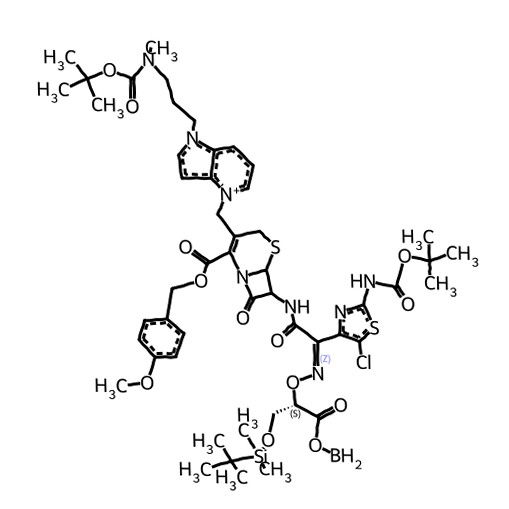 BOC(=O)[C@H](CO[Si](C)(C)C(C)(C)C)O/N=C(\C(=O)NC1C(=O)N2C(C(=O)OCc3ccc(OC)cc3)=C(C[n+]3cccc4c3ccn4CCCN(C)C(=O)OC(C)(C)C)CSC12)c1nc(NC(=O)OC(C)(C)C)sc1Cl